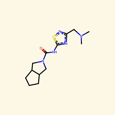 CN(C)Cc1nsc(NC(=O)N2CC3CCCC3C2)n1